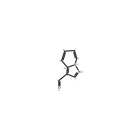 O=Cc1cnn2ccccc12